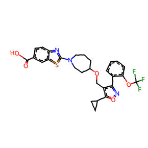 O=C(O)c1ccc2nc(N3CCCC(OCc4c(-c5ccccc5OC(F)(F)F)noc4C4CC4)CC3)sc2c1